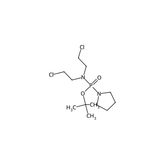 CC(C)(C)OP(=O)(N(CCCl)CCCl)N1CCCC1